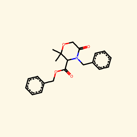 CC1(C)OCC(=O)N(Cc2ccccc2)C1C(=O)OCc1ccccc1